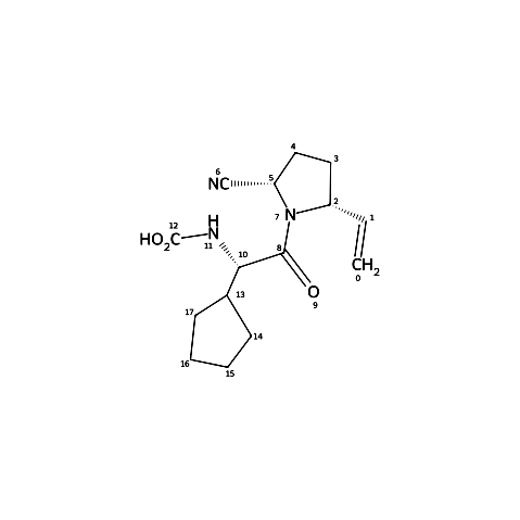 C=C[C@H]1CC[C@@H](C#N)N1C(=O)[C@@H](NC(=O)O)C1CCCC1